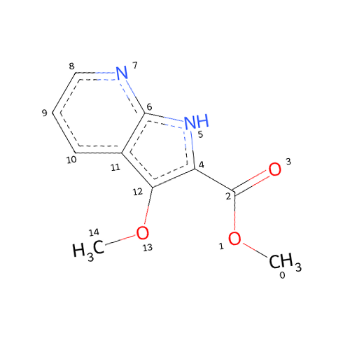 COC(=O)c1[nH]c2ncccc2c1OC